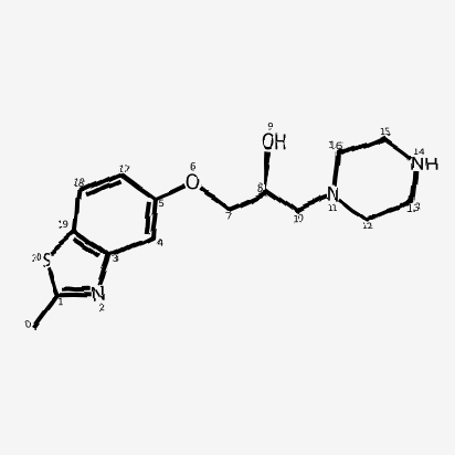 Cc1nc2cc(OC[C@@H](O)CN3CCNCC3)ccc2s1